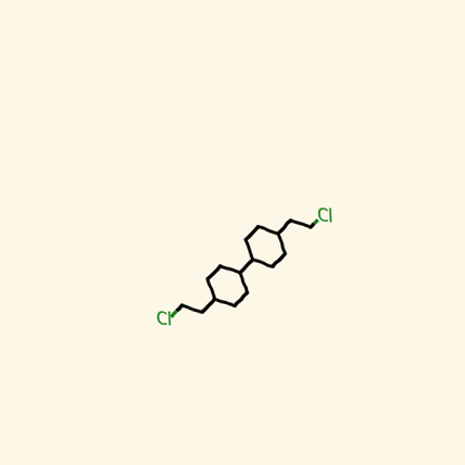 ClCCC1CCC(C2CCC(CCCl)CC2)CC1